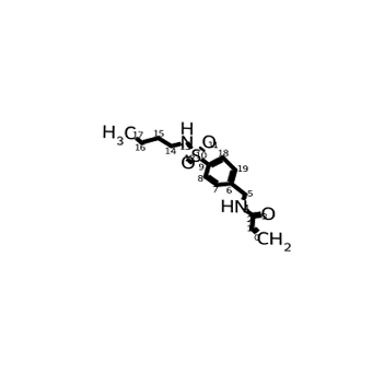 C=CC(=O)NCc1ccc(S(=O)(=O)NCCCC)cc1